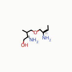 C/C=C(/N)COCC(C)[C@H](N)CO